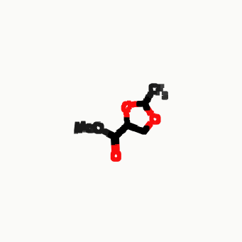 COC(=O)C1COC(C(F)(F)F)O1